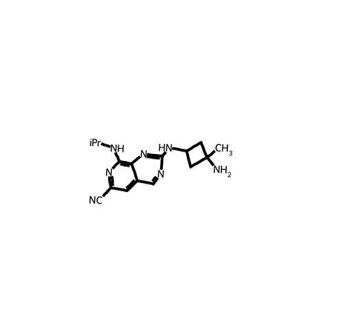 CC(C)Nc1nc(C#N)cc2cnc(NC3CC(C)(N)C3)nc12